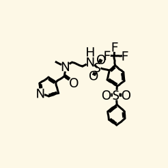 CN(CCNS(=O)(=O)c1cc(S(=O)(=O)c2ccccc2)ccc1C(F)(F)F)C(=O)c1ccncc1